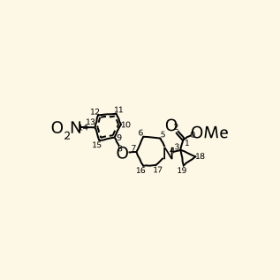 COC(=O)C1(N2CCC(Oc3cccc([N+](=O)[O-])c3)CC2)CC1